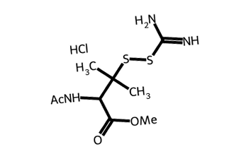 COC(=O)C(NC(C)=O)C(C)(C)SSC(=N)N.Cl